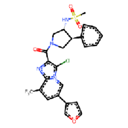 CS(=O)(=O)N[C@H]1CN(C(=O)c2nc3c(C(F)(F)F)cc(-c4ccoc4)cn3c2Cl)C[C@@H]1c1ccccc1